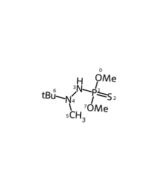 COP(=S)(NN(C)C(C)(C)C)OC